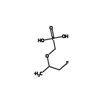 [CH2]C(CF)OCP(=O)(O)O